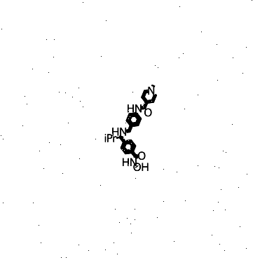 CC(C)[C@@H](NCc1ccc(NC(=O)C2CCN(C)CC2)cc1)c1ccc(C(=O)NO)cc1